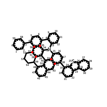 c1ccc(-c2ccc(-c3ccccc3N(c3ccc(-c4cccc5c4sc4ccccc45)cc3)c3ccccc3-c3cccc4cccc(C5CCCCC5)c34)cc2)cc1